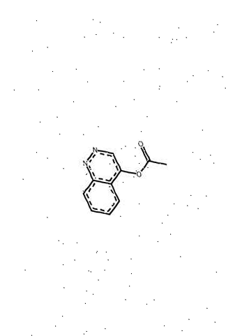 CC(=O)Oc1cnnc2ccccc12